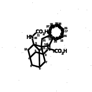 O=C(O)NC12CC3CC(C1)CC(NC(=O)O)(C3)C2(Cc1ccccc1)Cc1ccccc1